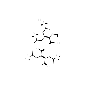 CC(CC(C(=O)O)=C(CC(C)S(=O)(=O)O)C(=O)O)S(=O)(=O)O.CC(CC(CC(C)S(=O)(=O)O)=C(CC(=O)O)C(=O)O)S(=O)(=O)O